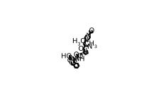 CC(C)(C=C(C#N)C(=O)N1CCC[C@@H]1COC(=O)NC(CB(O)O)c1occ2ccccc12)N1CCN(C2COC2)CC1